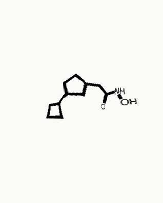 O=C(CC1CCC(C2CCC2)C1)NO